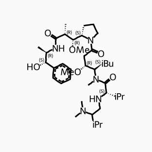 CC[C@H](C)C([C@@H](CC(=O)N1CCC[C@H]1[C@H](OC)[C@@H](C)C(=O)N[C@H](C)[C@@H](O)c1ccccc1)OC)N(C)C(=O)[C@@H](NCC(C(C)C)N(C)C)C(C)C